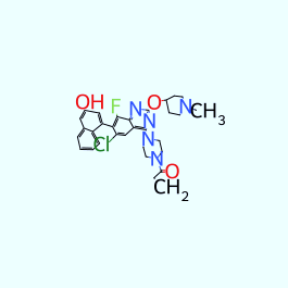 C=CC(=O)N1CCN(c2nc(OC3CCN(C)CC3)nc3c(F)c(-c4cc(O)cc5ccccc45)c(Cl)cc23)CC1